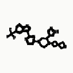 FC(F)(F)c1ccc2ncc(-c3nccc(N4CCN(C5CC6(COC6)C5)C(c5cn[nH]c5)C4)n3)n2c1